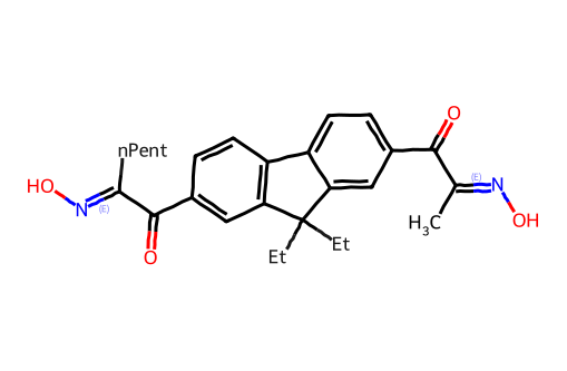 CCCCC/C(=N\O)C(=O)c1ccc2c(c1)C(CC)(CC)c1cc(C(=O)/C(C)=N/O)ccc1-2